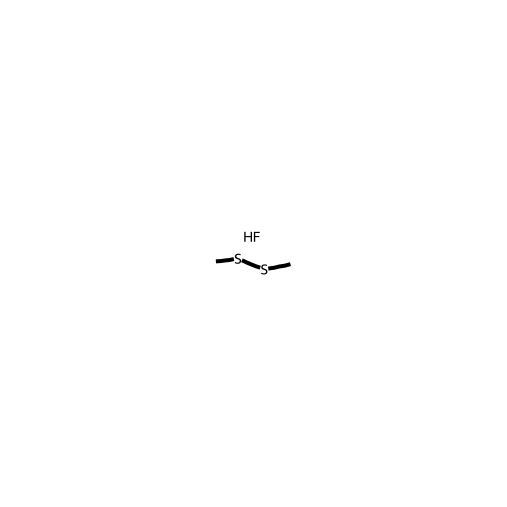 CSSC.F